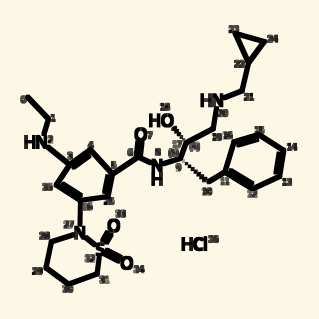 CCNc1cc(C(=O)N[C@@H](Cc2ccccc2)[C@H](O)CNCC2CC2)cc(N2CCCCS2(=O)=O)c1.Cl